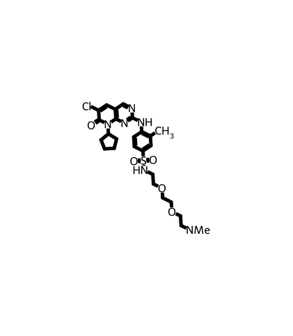 CNCCOCCOCCNS(=O)(=O)c1ccc(Nc2ncc3cc(Cl)c(=O)n(C4CCCC4)c3n2)c(C)c1